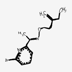 C=C(CC)CO/N=C(\C)c1cccc(Br)n1